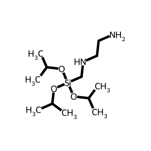 CC(C)O[Si](CNCCN)(OC(C)C)OC(C)C